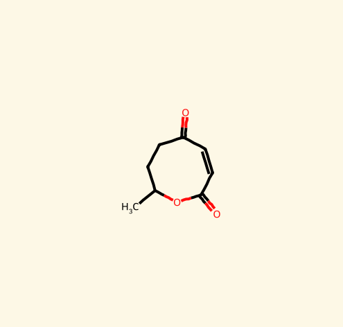 CC1CCC(=O)C=CC(=O)O1